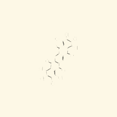 O=c1c2cc3c(=O)c4c(Cl)c(Cl)c(Cl)c(Cl)c4c(=O)c3cc2c(=O)c2c(Cl)c(Cl)c(Cl)c(Cl)c12